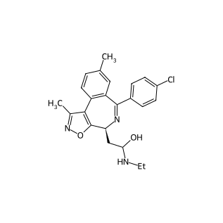 CCNC(O)C[C@@H]1N=C(c2ccc(Cl)cc2)c2cc(C)ccc2-c2c(C)noc21